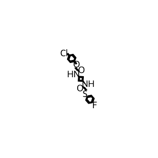 O=C(COc1ccc(Cl)cc1)N[C@H]1C[C@H](NC(=O)CSc2ccc(F)cc2)C1